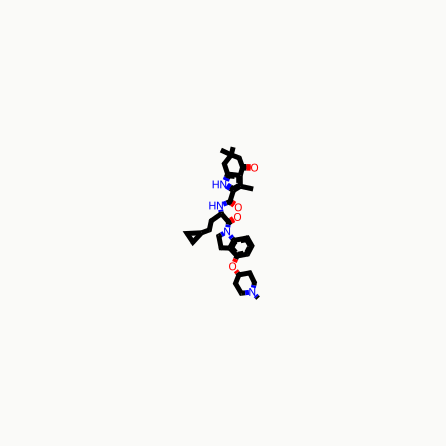 Cc1c(C(=O)NC(CCC2CC2)C(=O)N2CCc3c(OC4CCN(C)CC4)cccc32)[nH]c2c1C(=O)CC(C)(C)C2